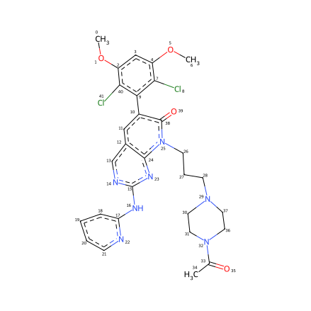 COc1cc(OC)c(Cl)c(-c2cc3cnc(Nc4ccccn4)nc3n(CCCN3CCN(C(C)=O)CC3)c2=O)c1Cl